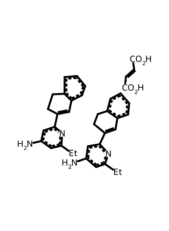 CCc1cc(N)cc(C2=Cc3ccccc3CC2)n1.CCc1cc(N)cc(C2=Cc3ccccc3CC2)n1.O=C(O)/C=C/C(=O)O